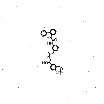 CC(Cc1cccc(NC(=O)Nc2ccccc2-c2ccccc2)c1)NC[C@H](O)c1ccc2c(c1)COC(C)(C)O2